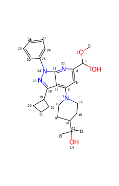 COC(O)c1cc(N2CCC(C(C)(C)O)CC2)c2c(C3CCC3)nn(-c3ccccc3)c2n1